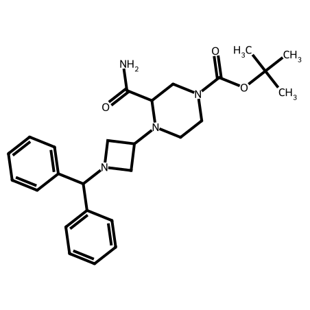 CC(C)(C)OC(=O)N1CCN(C2CN(C(c3ccccc3)c3ccccc3)C2)C(C(N)=O)C1